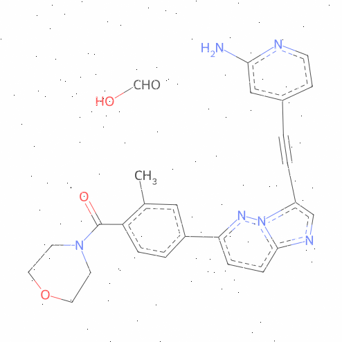 Cc1cc(-c2ccc3ncc(C#Cc4ccnc(N)c4)n3n2)ccc1C(=O)N1CCOCC1.O=CO